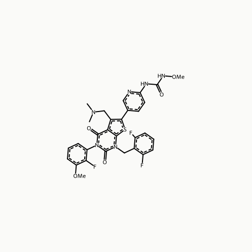 CONC(=O)Nc1ccc(-c2sc3c(c2CN(C)C)c(=O)n(-c2cccc(OC)c2F)c(=O)n3Cc2c(F)cccc2F)cn1